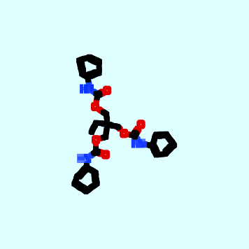 CCC(COC(=O)Nc1ccccc1)(COC(=O)Nc1ccccc1)COC(=O)Nc1ccccc1